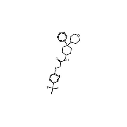 O=C(CSc1ccc(C(F)(F)F)cn1)NC1CCC(c2ccccc2)(N2CCOCC2)CC1